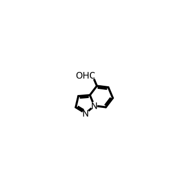 O=Cc1cccn2nccc12